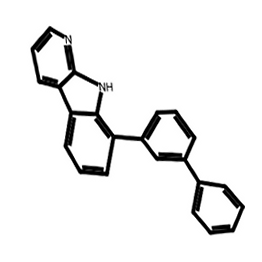 c1ccc(-c2cccc(-c3cccc4c3[nH]c3ncccc34)c2)cc1